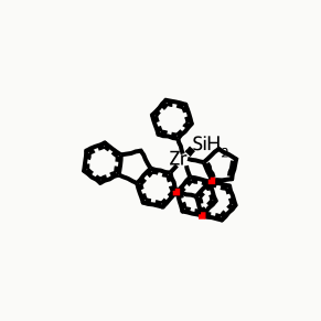 [SiH2]=[Zr]([C]1=CC=CC1)([c]1ccccc1)([c]1ccccc1)[c]1c(-c2ccccc2)ccc2c1Cc1ccccc1-2